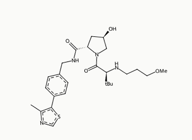 COCCCN[C@H](C(=O)N1C[C@H](O)C[C@H]1C(=O)NCc1ccc(-c2scnc2C)cc1)C(C)(C)C